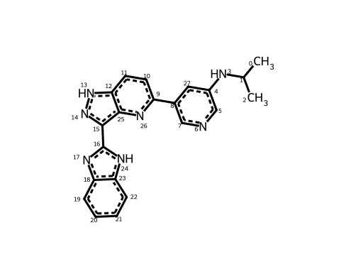 CC(C)Nc1cncc(-c2ccc3[nH]nc(-c4nc5ccccc5[nH]4)c3n2)c1